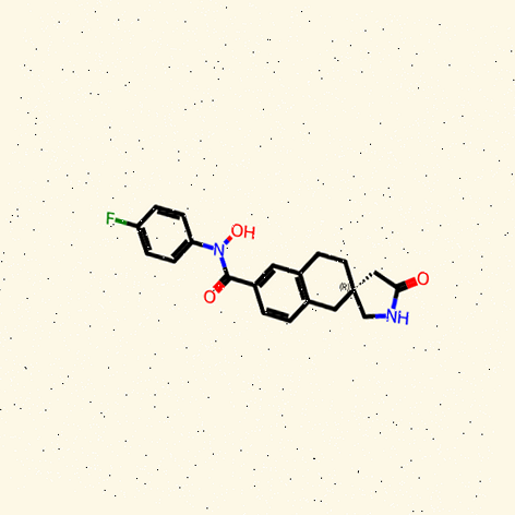 O=C1C[C@]2(CCc3cc(C(=O)N(O)c4ccc(F)cc4)ccc3C2)CN1